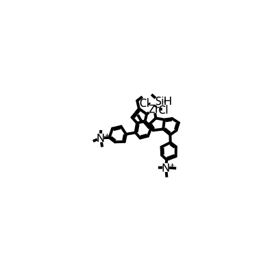 CCC1=Cc2c(-c3ccc([N+](C)(C)C)cc3)cccc2[CH]1[Zr]([Cl])([Cl])([CH]1C(CC)=Cc2c(-c3ccc([N+](C)(C)C)cc3)cccc21)[SiH](C)C